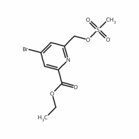 CCOC(=O)c1cc(Br)cc(COS(C)(=O)=O)n1